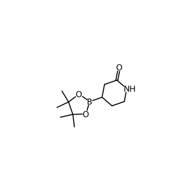 CC1(C)OB(C2CCNC(=O)C2)OC1(C)C